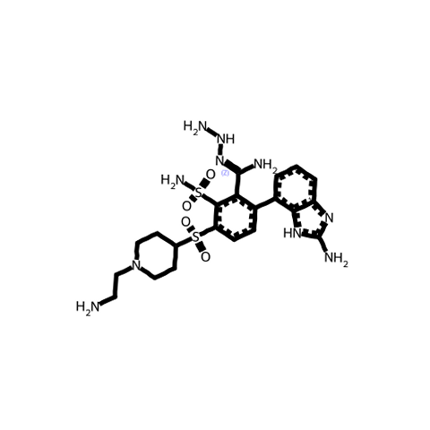 NCCN1CCC(S(=O)(=O)c2ccc(-c3cccc4nc(N)[nH]c34)c(/C(N)=N/NN)c2S(N)(=O)=O)CC1